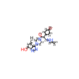 C[C@@H]1C[C@H](O)c2ncnc(N3CCN(C(=O)C(CNCC4CC4)c4ccc(Br)cc4)CC3)c21